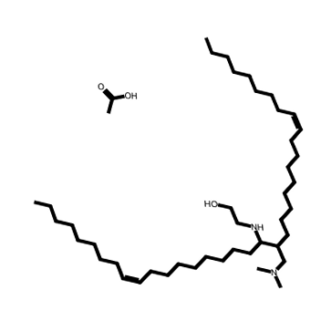 CC(=O)O.CCCCCCCC/C=C\CCCCCCCCC(CN(C)C)C(CCCCCCCC/C=C\CCCCCCCC)NCCO